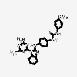 COc1ccc(NC(=S)Nc2ccc(Nc3nc4ccccc4n3-c3nc(C)nc(N)n3)cc2)cc1